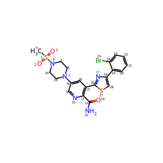 CS(=O)(=O)N1CCN(c2cnc(C(N)=O)c(-c3nc(-c4ccccc4Br)cs3)c2)CC1